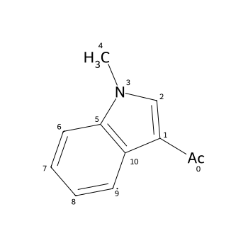 CC(=O)c1cn(C)c2ccc[c]c12